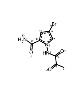 CC(=O)C(=O)Nn1cc(Br)cc1C(N)=O